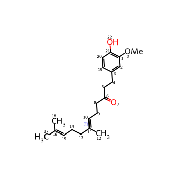 COc1cc(CCC(=O)CC/C=C(\C)CCC=C(C)C)ccc1O